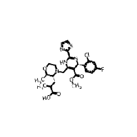 COC(=O)C1=C(CN2CCO[C@H](C)[C@H]2CC(C)C(=O)O)NC(c2nccs2)=N[C@H]1c1ccc(F)cc1Cl